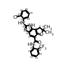 CC1(C)Cc2c(c(C(=O)Nc3ccccc3C(F)(F)F)cc3nc(Nc4ccccc4Cl)[nH]c23)O1